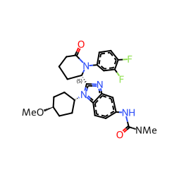 CNC(=O)Nc1ccc2c(c1)nc([C@@H]1CCCC(=O)N1c1ccc(F)c(F)c1)n2[C@H]1CC[C@H](OC)CC1